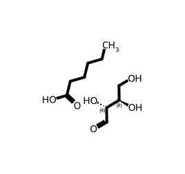 CCCCCC(=O)O.O=C[C@H](O)[C@H](O)CO